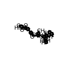 C#Cc1c(F)ccc2cccc(-c3ncc4c(N5C[C@H]6CC[C@@H](C5)N6)nc(OC[C@@]56CC[C@@H](COC(=O)N7CCC(c8ccc9c(c8)CN(C8CCC(=O)NC8=O)C9=O)CC7)N5CC(=C)C6)nc4c3F)c12